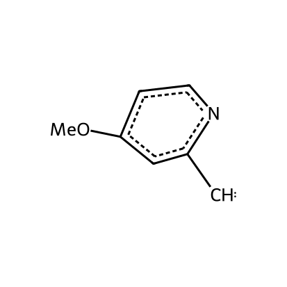 [CH]c1cc(OC)ccn1